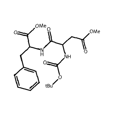 COC(=O)CC(NC(=O)OC(C)(C)C)C(=O)NC(Cc1ccccc1)C(=O)OC